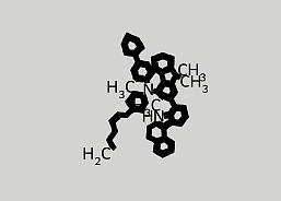 C=CCC/C=C\Cc1ccc(N(c2ccc(-c3ccccc3)cc2C)c2c(C)c(-c3cccc4c5c([nH]c34)CCc3ccccc3-5)cc3c2-c2ccccc2C3(C)C)cc1